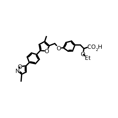 CCOC(Cc1ccc(OCc2oc(-c3ccc(-c4cc(C)no4)cc3)cc2C)cc1)C(=O)O